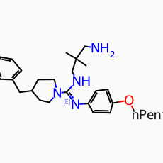 CCCCCOc1ccc(/N=C(\NCC(C)(C)CN)N2CCC(Cc3ccccc3)CC2)cc1